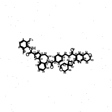 O=C(Nc1c(F)cccc1F)c1cc2c(s1)-c1ccccc1N(C(=O)c1ccc(CCC(=O)c3cc4c(nc3N3CC5(CCOCC5)C3)CCOC4)cc1)CC2